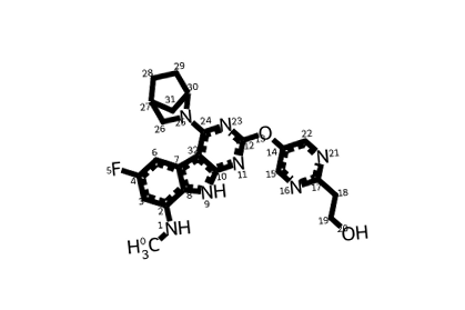 CNc1cc(F)cc2c1[nH]c1nc(Oc3cnc(CCO)nc3)nc(N3CC4CCC3C4)c12